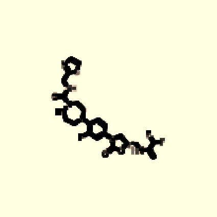 C=C(NC[C@H]1CN(c2ccc(N3CCNN(C(=O)NCc4nccs4)CC3)c(F)c2)C(=O)O1)C(F)F